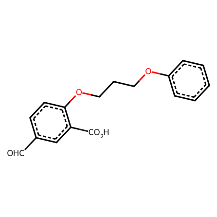 O=Cc1ccc(OCCCOc2ccccc2)c(C(=O)O)c1